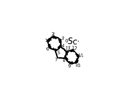 [Sc].c1ccc2c(c1)Cc1ccccc1-2